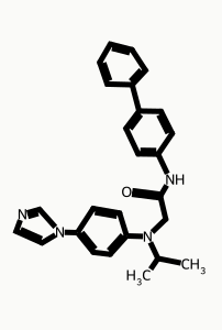 CC(C)N(CC(=O)Nc1ccc(-c2ccccc2)cc1)c1ccc(-n2ccnc2)cc1